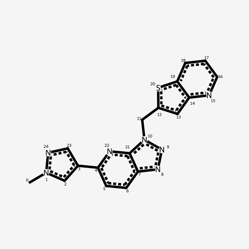 Cn1cc(-c2ccc3nnn(Cc4cc5ncccc5s4)c3n2)cn1